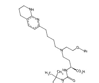 CC(C)OCCN(CCCCc1ccc2c(n1)NCCC2)CC[C@H](NC(=O)N1CCCC1(C)C)C(=O)O